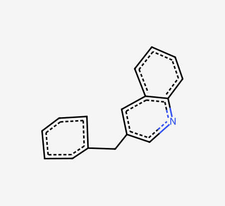 c1ccc(Cc2cnc3ccccc3c2)cc1